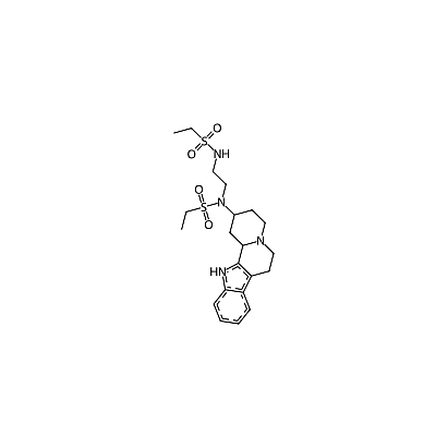 CCS(=O)(=O)NCCN(C1CCN2CCc3c([nH]c4ccccc34)C2C1)S(=O)(=O)CC